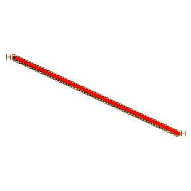 SSSSSSSSSSSSSSSSSSSSSSSSSSSSSSSSSSSSSSSSSSSSSSSSSSSSSSSSSSSSSSSSSSSSSSSSSSSSSSSSSSSSSSSSSSSSSSSSSSSSSSSSSSSSSSSSSSSSSSSSSSSSS